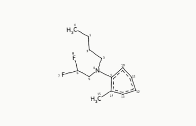 CCCCN(CC(F)F)c1ccccc1C